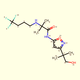 CC(C)(NCCCC(F)(F)F)C(=O)Nc1cc(C(C)(C)CO)no1